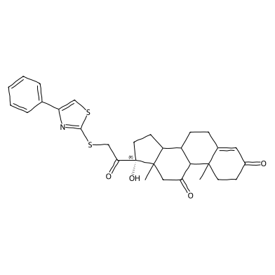 CC12CCC(=O)C=C1CCC1C2C(=O)CC2(C)C1CC[C@]2(O)C(=O)CSc1nc(-c2ccccc2)cs1